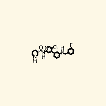 O=C(Nc1cc(-c2cccc(NCc3cccc(F)c3)c2)c(Cl)cn1)[C@H]1CCCNC1